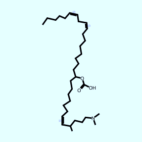 CCCCC/C=C\C/C=C\CCCCCCCC(CCCCCC/C=C\C(C)CCCN(C)C)OC(=O)O